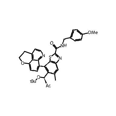 COc1ccc(CNC(=O)c2nc3cc(C)c([C@H](OC(C)(C)C)C(C)=O)c(-c4ccc5c6c(ccnc46)CCO5)c3s2)cc1